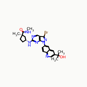 CNC(=O)[C@]1(C)CC[C@@H](Nc2ncc3c(Br)nn(-c4ccc5ncc(C(C)(C)O)cc5c4)c3n2)C1